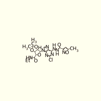 CCNC(=O)C1OC(n2cnc3c(NNC(=O)c4cc(C)on4)nc(Cl)nc32)[C@@H]2OC(C)(C)OC12